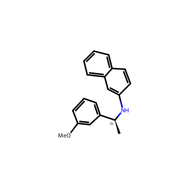 COc1cccc([C@H](C)Nc2ccc3ccccc3c2)c1